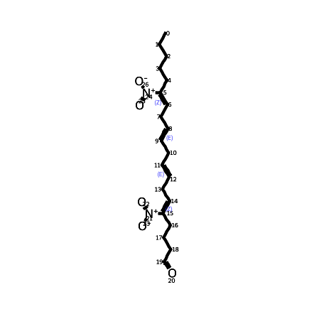 CCCCC/C(=C/C/C=C/C/C=C/C/C=C(/CCC[C]=O)[N+](=O)[O-])[N+](=O)[O-]